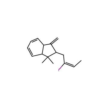 C=C1C2C=CC=CC2C(C)(C)C1C/C(I)=C\C